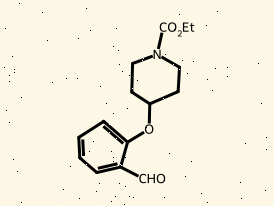 CCOC(=O)N1CCC(Oc2ccccc2C=O)CC1